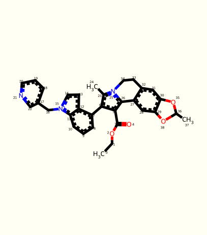 CCOC(=O)c1c(-c2cccc3c2ccn3Cc2cccnc2)c(C)n2c1-c1cc3c(cc1CC2)OC(C)O3